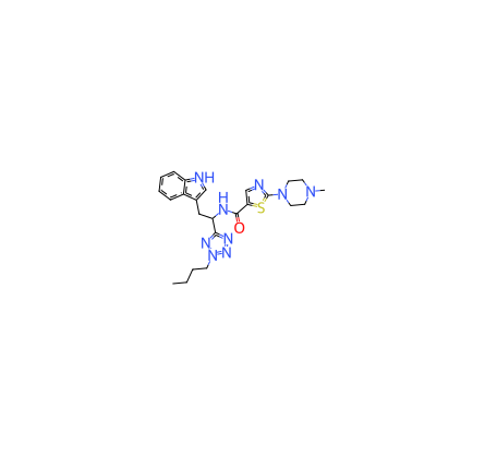 CCCCn1nnc(C(Cc2c[nH]c3ccccc23)NC(=O)c2cnc(N3CCN(C)CC3)s2)n1